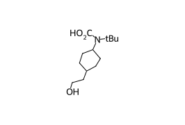 CC(C)(C)N(C(=O)O)C1CCC(CCO)CC1